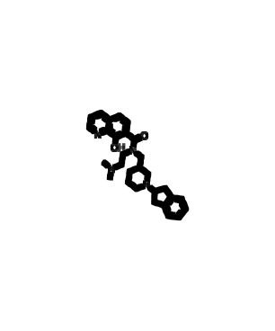 CN(C)CCN(CC1CCCN(C2Cc3ccccc3C2)C1)C(=O)c1ccc2cccnc2c1O